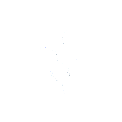 Nc1cnc(C(N)CCC(=O)O)c(N)c1